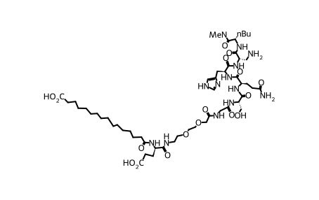 CCCC[C@H](NC(=O)[C@H](CN)NC(=O)[C@H](Cc1c[nH]cn1)NC(=O)[C@@H](CCC(N)=O)NC(=O)[C@H](CO)NC(=O)CNC(=O)COCCOCCNC(=O)[C@@H](CCC(=O)O)NC(=O)CCCCCCCCCCCCCCC(=O)O)C(=O)NC